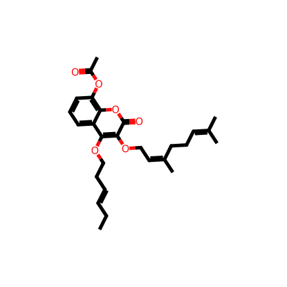 CCC=CCCOc1c(OCC=C(C)CCC=C(C)C)c(=O)oc2c(OC(C)=O)cccc12